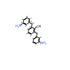 N#Cc1c(Cc2cccc(N)c2)cccc1Cc1cccc(N)c1